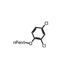 CC[CH]CCOc1ccc(Cl)cc1Cl